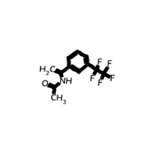 C=C(NC(C)=O)c1cccc(C(F)(F)C(F)(F)F)c1